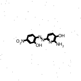 Nc1nc(N=Nc2ccc([N+](=O)[O-])cc2O)ccc1O